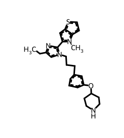 CCc1cn(CCCc2cccc(OC3CCNCC3)c2)c(-c2cc3sccc3n2C)n1